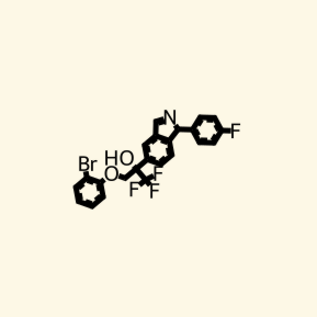 OC(COc1ccccc1Br)(c1ccc2c(c1)C=NC2c1ccc(F)cc1)C(F)(F)F